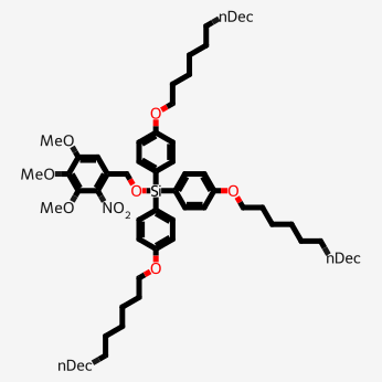 CCCCCCCCCCCCCCCCOc1ccc([Si](OCc2cc(OC)c(OC)c(OC)c2[N+](=O)[O-])(c2ccc(OCCCCCCCCCCCCCCCC)cc2)c2ccc(OCCCCCCCCCCCCCCCC)cc2)cc1